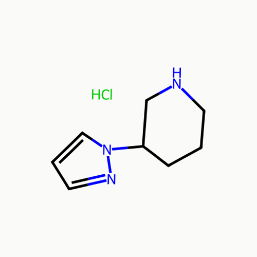 Cl.c1cnn(C2CCCNC2)c1